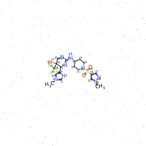 Cn1cnc(C2N=C(NC3CCN(S(=O)(=O)c4cnn(C)c4)CC3)N=CC2(Br)C(F)(F)F)c1